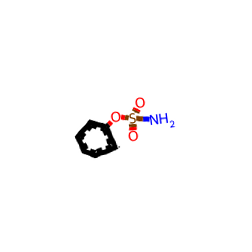 NS(=O)(=O)Oc1[c]cccc1